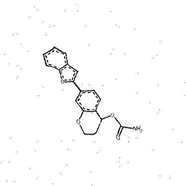 NC(=O)OC1CCOc2cc(-c3cc4ccccc4o3)ccc21